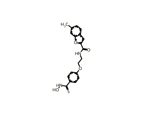 Cc1ccc2cc(C(=O)NCCOc3ccc(C(=S)NO)cc3)oc2c1